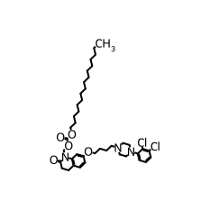 CCCCCCCCCCCCCCCCOC(=O)OCN1C(=O)CCc2ccc(OCCCCN3CCN(c4cccc(Cl)c4Cl)CC3)cc21